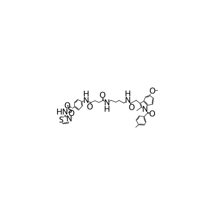 COc1ccc2c(c1)c(CC(=O)NCCCCNC(=O)CCC(=O)Nc1ccc(S(=O)(=O)Nc3nccs3)cc1)c(C)n2C(=O)c1ccc(C)cc1